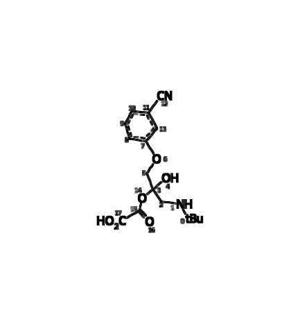 CC(C)(C)NCC(O)(COc1cccc(C#N)c1)OC(=O)C(=O)O